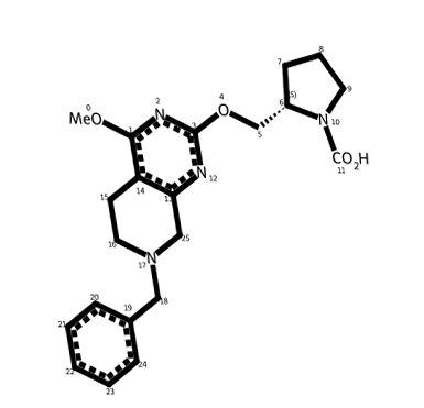 COc1nc(OC[C@@H]2CCCN2C(=O)O)nc2c1CCN(Cc1ccccc1)C2